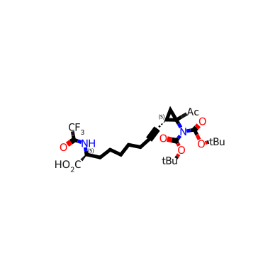 CC(=O)C1(N(C(=O)OC(C)(C)C)C(=O)OC(C)(C)C)C[C@H]1C#CCCCCC[C@H](NC(=O)C(F)(F)F)C(=O)O